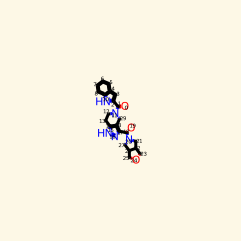 O=C(c1cc2ccccc2[nH]1)N1CCc2[nH]nc(C(=O)N3CC4COCC4C3)c2C1